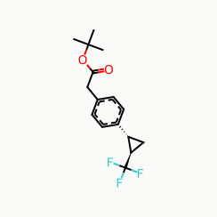 CC(C)(C)OC(=O)Cc1ccc([C@@H]2C[C@H]2C(F)(F)F)cc1